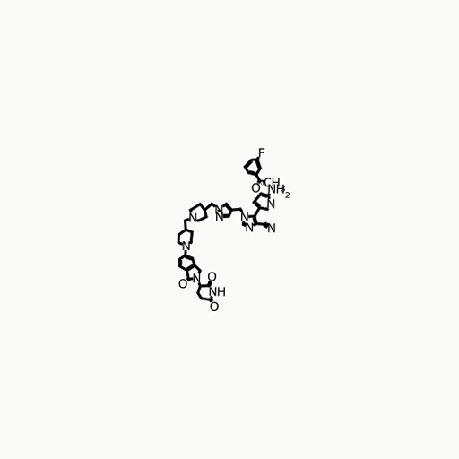 C[C@@H](Oc1cc(-c2c(C#N)ncn2Cc2cnn(CC3CCN(CC4CCN(c5ccc6c(c5)CN(C5CCC(=O)NC5=O)C6=O)CC4)CC3)c2)cnc1N)c1cccc(F)c1